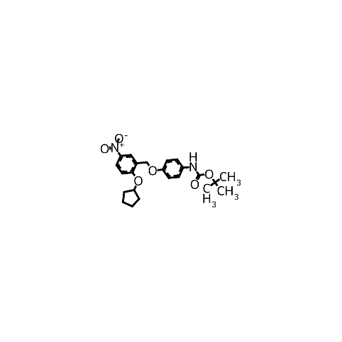 CC(C)(C)OC(=O)Nc1ccc(OCc2cc([N+](=O)[O-])ccc2OC2CCCC2)cc1